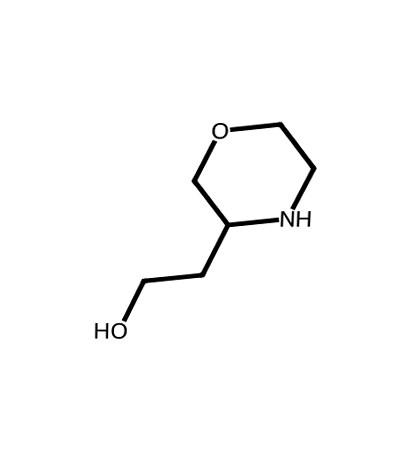 OCCC1COCCN1